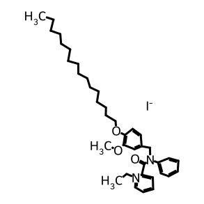 CCCCCCCCCCCCCCCCOc1ccc(CN(C(=O)c2cccc[n+]2CC)c2ccccc2)cc1OC.[I-]